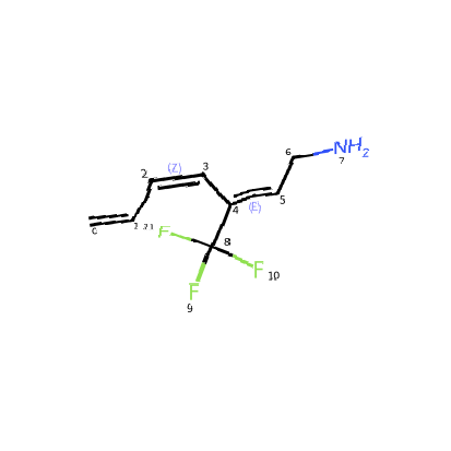 C=C/C=C\C(=C/CN)C(F)(F)F